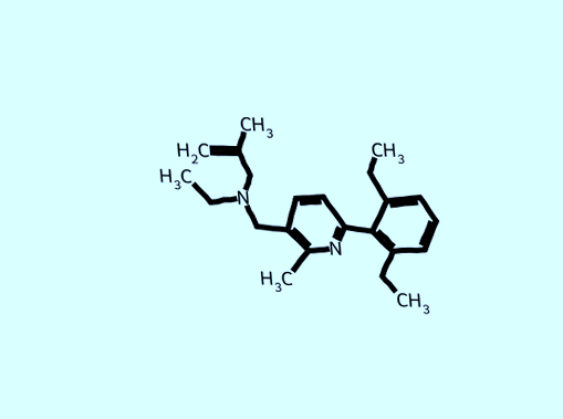 C=C(C)CN(CC)Cc1ccc(-c2c(CC)cccc2CC)nc1C